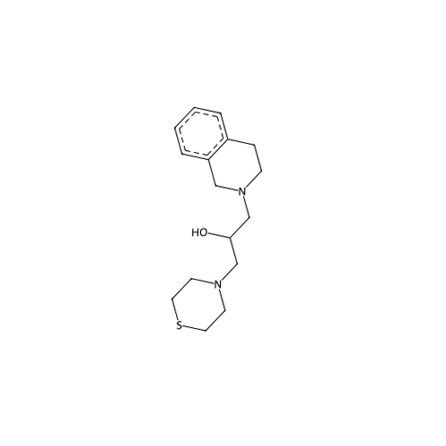 OC(CN1CCSCC1)CN1CCc2ccccc2C1